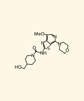 COc1cnc(N2CCOCC2)c2sc(NC(=O)N3CCC(CO)CC3)nc12